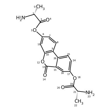 C[C@@H](N)C(=O)Oc1ccc2c(c1)oc(=O)c1cc(OC(=O)[C@@H](C)N)ccc12